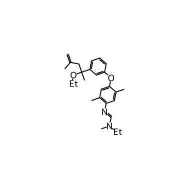 C=C(C)CC(C)(OCC)c1cccc(Oc2cc(C)c(N=CN(C)CC)cc2C)c1